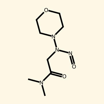 CN(C)C(=O)CN(N=O)N1CCOCC1